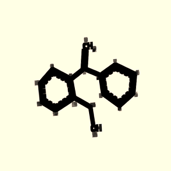 C=C(c1ccccc1)c1ccccc1CO